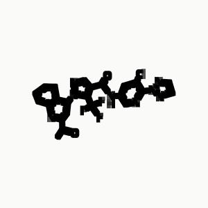 CC(=O)c1cc(-n2ncc(C(=O)Nc3cnc(-n4nccn4)c(Cl)c3)c2C(F)(F)F)c2ccccc2n1